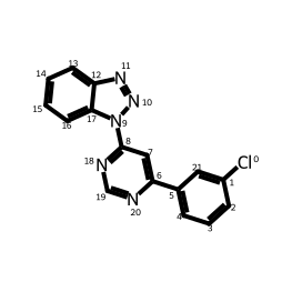 Clc1cccc(-c2cc(-n3nnc4ccccc43)ncn2)c1